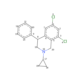 Clc1cc(Cl)c2c(c1)C(c1ccccc1)CN(C1CC1)C2